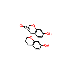 C=O.Oc1ccc2c(c1)OCCC2.Oc1ccc2c(c1)OCCC2